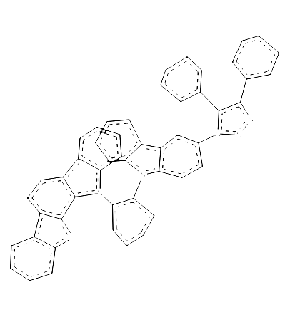 c1ccc(-c2nnn(-c3ccc4c(c3)c3ccccc3n4-c3ccccc3-n3c4ccccc4c4ccc5c6ccccc6oc5c43)c2-c2ccccc2)cc1